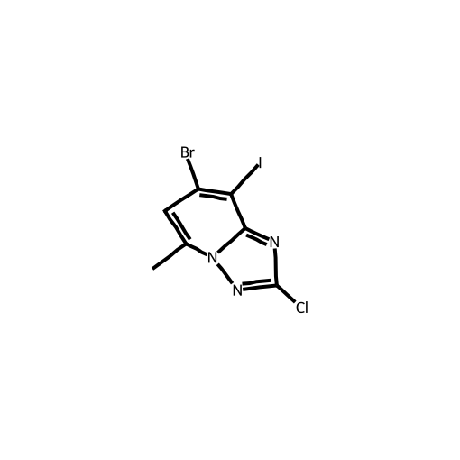 Cc1cc(Br)c(I)c2nc(Cl)nn12